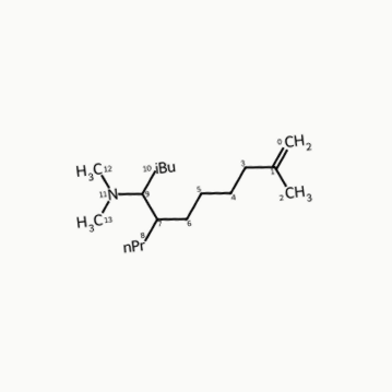 C=C(C)CCCCC(CCC)C(C(C)CC)N(C)C